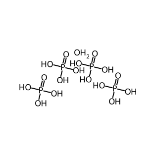 O.O=P(O)(O)O.O=P(O)(O)O.O=P(O)(O)O.O=P(O)(O)O